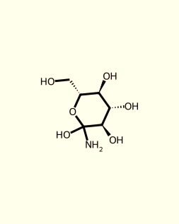 NC1(O)O[C@H](CO)[C@@H](O)[C@H](O)[C@H]1O